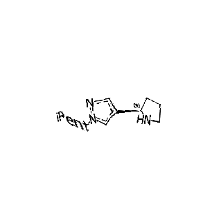 CCCC(C)n1cc([C@H]2CCCN2)cn1